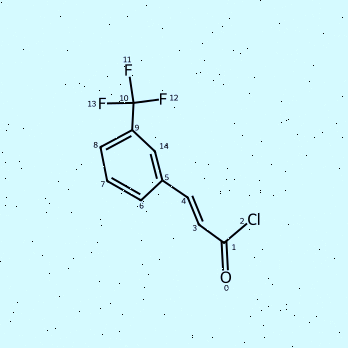 O=C(Cl)C=Cc1cccc(C(F)(F)F)c1